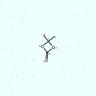 CC1(C)OC(=O)O1